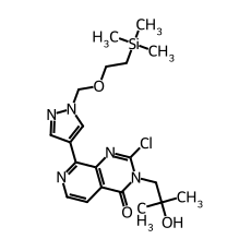 CC(C)(O)Cn1c(Cl)nc2c(-c3cnn(COCC[Si](C)(C)C)c3)nccc2c1=O